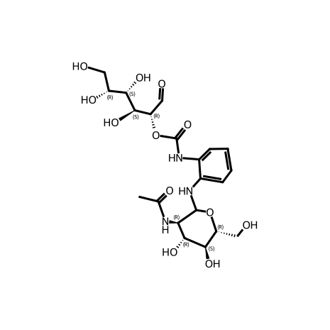 CC(=O)N[C@H]1C(Nc2ccccc2NC(=O)O[C@@H](C=O)[C@@H](O)[C@@H](O)[C@H](O)CO)O[C@H](CO)[C@@H](O)[C@@H]1O